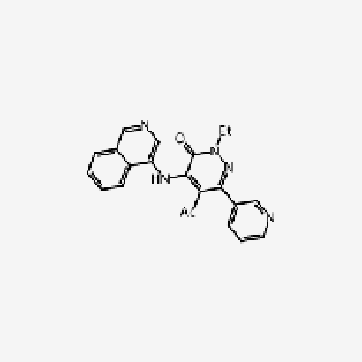 CCn1nc(-c2cccnc2)c(C(C)=O)c(Nc2cncc3ccccc23)c1=O